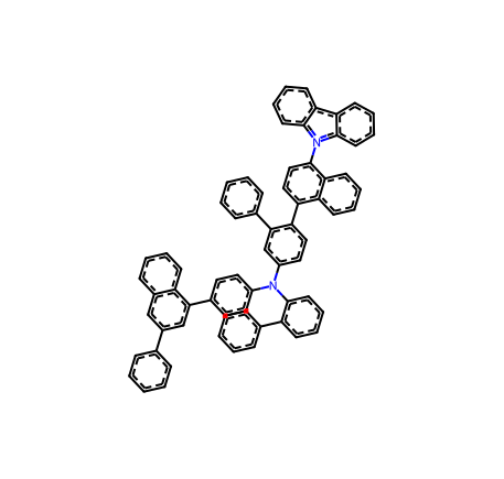 c1ccc(-c2cc(-c3ccc(N(c4ccc(-c5ccc(-n6c7ccccc7c7ccccc76)c6ccccc56)c(-c5ccccc5)c4)c4ccccc4-c4ccccc4)cc3)c3ccccc3c2)cc1